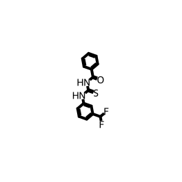 O=C(NC(=S)Nc1cccc(C(F)F)c1)c1ccccc1